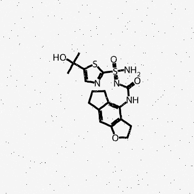 CC(C)(O)c1cnc(S(N)(=O)=NC(=O)Nc2c3c(cc4c2CCO4)CCC3)s1